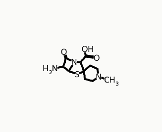 CN1CCC2(CC1)SC1C(N)C(=O)N1C2C(=O)O